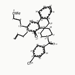 C=CCn1c(SCCOC)nc2c(c1=O)C1(CCN(C(=O)c3ccc(Cl)cc3)CC1)Cc1ccccc1-2